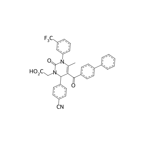 CC1=C(C(=O)c2ccc(-c3ccccc3)cc2)C(c2ccc(C#N)cc2)N(CC(=O)O)C(=O)N1c1cccc(C(F)(F)F)c1